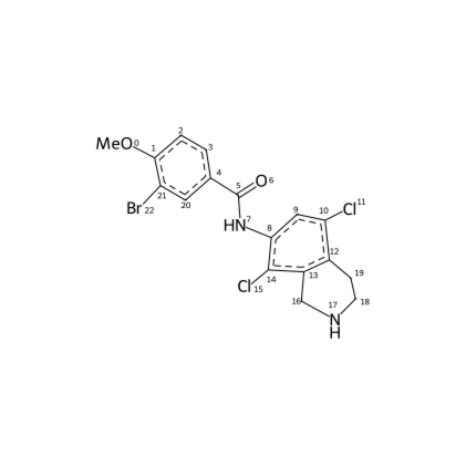 COc1ccc(C(=O)Nc2cc(Cl)c3c(c2Cl)CNCC3)cc1Br